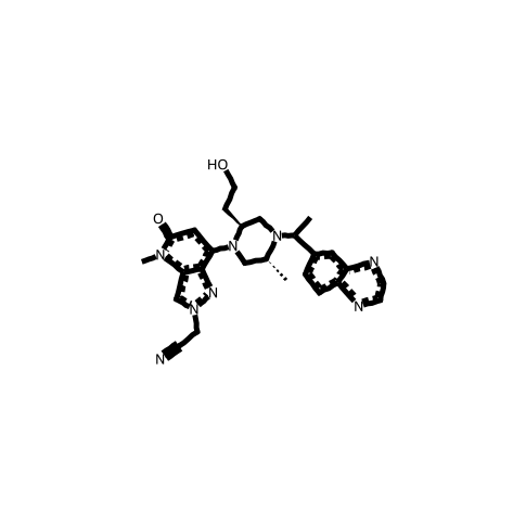 CC(c1ccc2nccnc2c1)N1C[C@H](CCO)N(c2cc(=O)n(C)c3cn(CC#N)nc23)C[C@H]1C